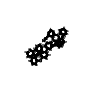 N#Cc1cccc(-n2c3ccccc3c3ccccc32)c1-n1c2ccccc2c2cc(-c3ccc4c(c3)C3(c5ccccc5O4)c4cccnc4-c4ncccc43)ccc21